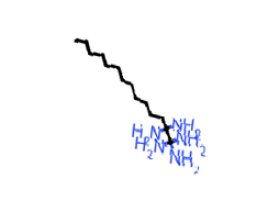 CCCCCCCCCCCCC(N)(N)C(N)(N)N